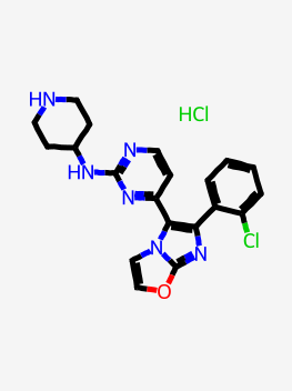 Cl.Clc1ccccc1-c1nc2occn2c1-c1ccnc(NC2CCNCC2)n1